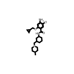 CC1CCN(CC2CCCC(NC(=O)c3cc(Cl)c(N)cc3OCC3CC3)C2)CC1